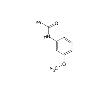 CC(C)C(=O)Nc1cccc(OC(F)(F)F)c1